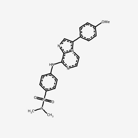 COc1ccc(-c2cnc3c(Nc4ccc(S(=O)(=O)N(C)C)cc4)nccn23)cc1